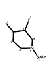 CSN1CCC(C)C(F)C1